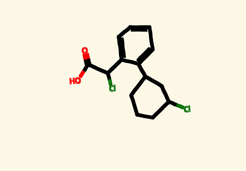 O=C(O)C(Cl)c1ccccc1C1CCCC(Cl)C1